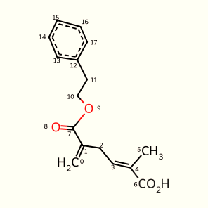 C=C(CC=C(C)C(=O)O)C(=O)OCCc1ccccc1